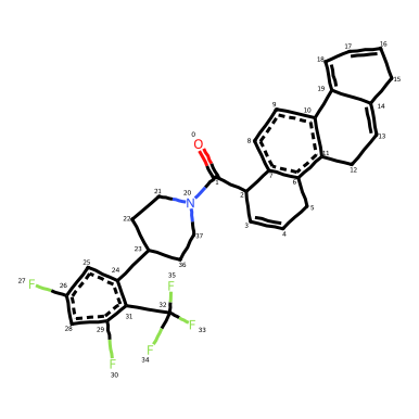 O=C(C1C=CCc2c1ccc1c2CC=C2CC=CC=C21)N1CCC(c2cc(F)cc(F)c2C(F)(F)F)CC1